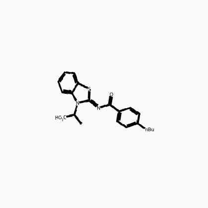 CCCCc1ccc(C(=O)N=c2sc3ccccc3n2C(C)C(=O)O)cc1